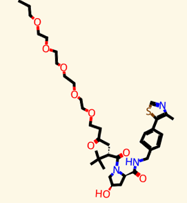 CCCOCCOCCOCCOCCOCCC(=O)C[C@H](C(=O)N1C[C@H](O)C[C@@H]1C(=O)NCc1ccc(-c2scnc2C)cc1)C(C)(C)C